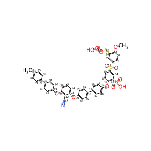 COc1ccc(S(=O)(=O)c2ccc(Oc3ccc(-c4ccc(Oc5cccc(Oc6ccc(-c7ccc(C)cc7)cc6)c5C#N)cc4)cc3)c(S(=O)(=O)O)c2)cc1SOOO